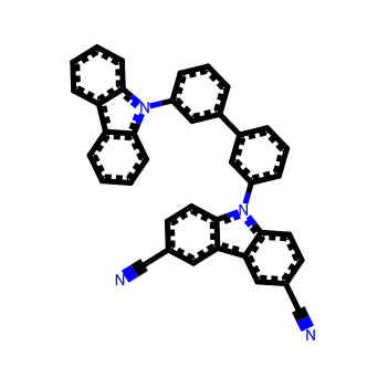 N#Cc1ccc2c(c1)c1cc(C#N)ccc1n2-c1cccc(-c2cccc(-n3c4ccccc4c4ccccc43)c2)c1